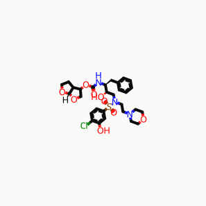 O=C(N[C@@H](Cc1ccccc1)[C@H](O)CN(CCN1CCOCC1)S(=O)(=O)c1ccc(Cl)c(O)c1)OC1CO[C@H]2OCCC12